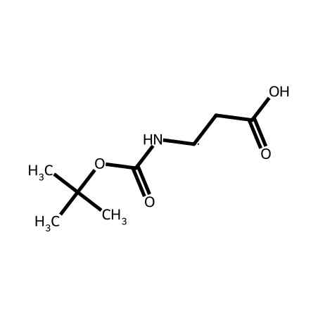 CC(C)(C)OC(=O)N[CH]CC(=O)O